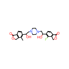 Cc1c(C(O)CN2CCN(CC(O)c3ccc4c(c3F)COC4=O)CC2)ccc2c1COC2=O